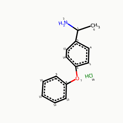 CC(N)c1ccc(Oc2ccccc2)cc1.Cl